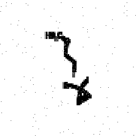 BrC1(I)C=C1.O=C(O)OCCI